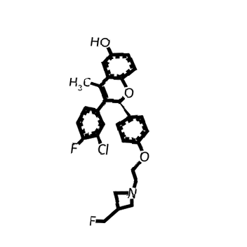 CC1=C(c2ccc(F)c(Cl)c2)[C@H](c2ccc(OCCN3CC(CF)C3)cc2)Oc2ccc(O)cc21